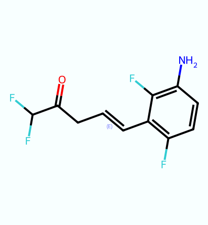 Nc1ccc(F)c(/C=C/CC(=O)C(F)F)c1F